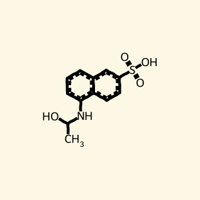 CC(O)Nc1cccc2cc(S(=O)(=O)O)ccc12